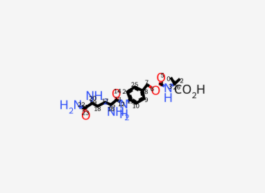 CC(C)(NC(=O)OCc1ccc(NC(=O)[C@@H](N)CCC(N)C(N)=O)cc1)C(=O)O